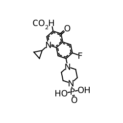 O=C(O)c1cn(C2CC2)c2cc(N3CCN(P(=O)(O)O)CC3)c(F)cc2c1=O